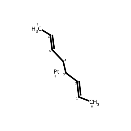 CC=CCCC=CC.[Pt]